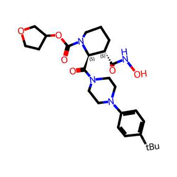 CC(C)(C)c1ccc(N2CCN(C(=O)[C@@H]3[C@@H](C(=O)NO)CCCN3C(=O)OC3CCOC3)CC2)cc1